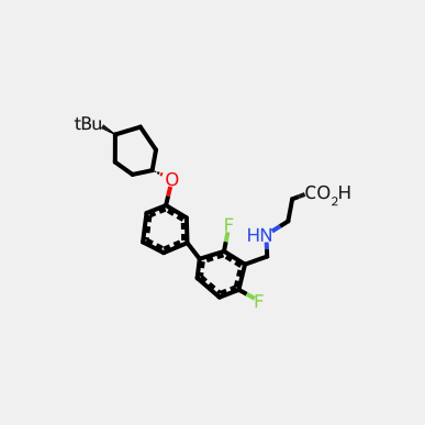 CC(C)(C)[C@H]1CC[C@H](Oc2cccc(-c3ccc(F)c(CNCCC(=O)O)c3F)c2)CC1